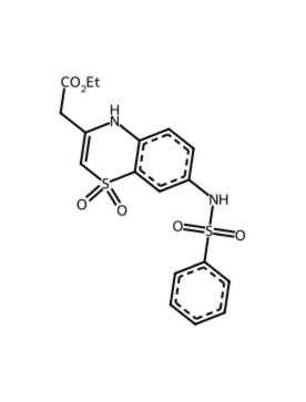 CCOC(=O)CC1=CS(=O)(=O)c2cc(NS(=O)(=O)c3ccccc3)ccc2N1